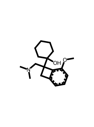 COc1cccc2c1C(CN(C)C)(C1(O)CCCCC1)C2